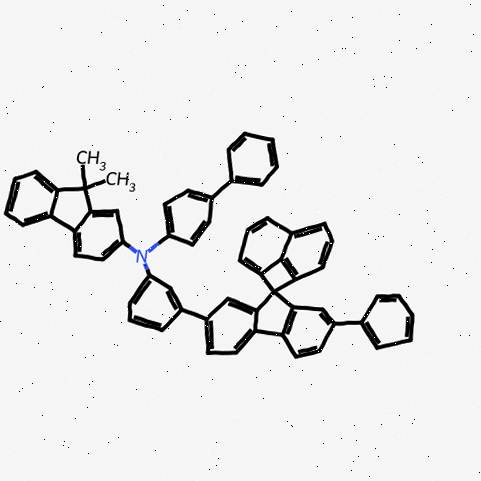 CC1(C)c2ccccc2-c2ccc(N(c3ccc(-c4ccccc4)cc3)c3cccc(-c4ccc5c(c4)C4(c6cc(-c7ccccc7)ccc6-5)c5cccc6cccc4c56)c3)cc21